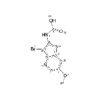 COc1cnc2c(Br)c(NC(=O)O)sc2c1